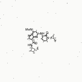 CNc1cc(Nc2cccn([C@@H]3C[C@H]3F)c2=O)nc2c(C(=O)N[C@@H]3CC[C@H]3F)cnn12